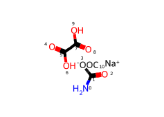 NC(=O)C(=O)[O-].O=C(O)C(=O)O.[Na+]